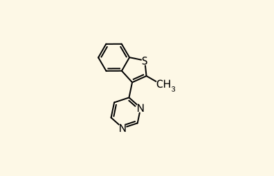 Cc1sc2ccccc2c1-c1ccncn1